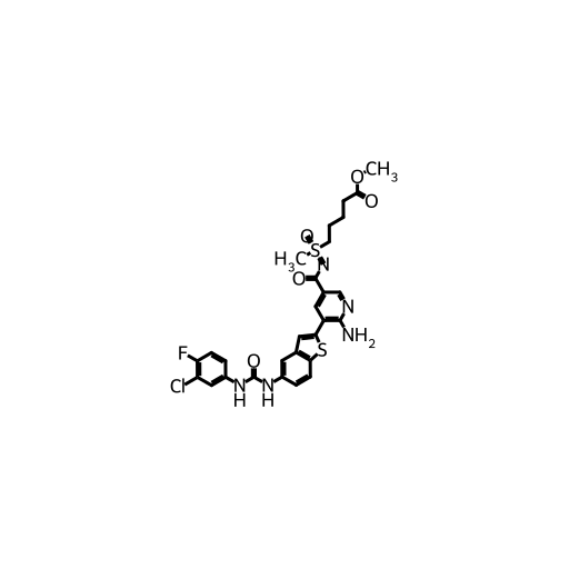 COC(=O)CCCCS(C)(=O)=NC(=O)c1cnc(N)c(-c2cc3cc(NC(=O)Nc4ccc(F)c(Cl)c4)ccc3s2)c1